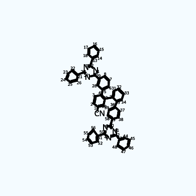 N#Cc1ccc(-c2cccc(-c3nc(-c4ccccc4)nc(-c4ccccc4)n3)c2)c(-c2ccccc2-c2ccc(-c3nc(-c4ccccc4)nc(-c4ccccc4)n3)cc2)c1